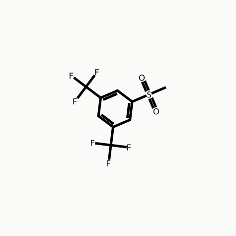 CS(=O)(=O)c1cc(C(F)(F)F)cc(C(F)(F)F)c1